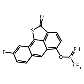 O=C1Sc2c3cc(F)ccc3cc3c(OS(=P)C(F)(F)F)ccc1c23